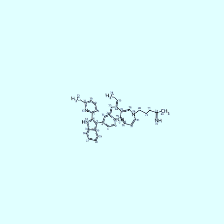 C=c1ccc(-c2c(-c3cccc(C)n3)[nH]c3ccccc23)c/c1=C/C(=C\C)C1=CN(CCCC(C)=N)C=CC=C1